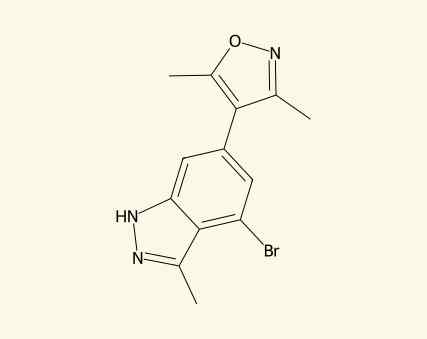 Cc1noc(C)c1-c1cc(Br)c2c(C)n[nH]c2c1